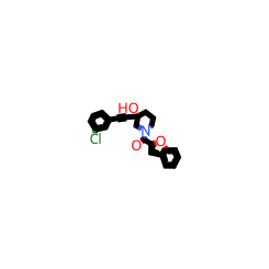 O=C(c1cc2ccccc2o1)N1CCCC(O)(C#Cc2cccc(Cl)c2)C1